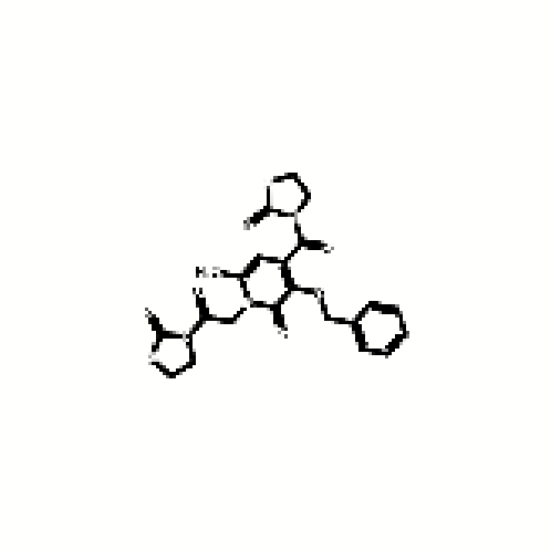 Cc1cc(C(=O)N2CCSC2=S)c(OCc2ccccc2)c(=O)n1CC(=O)N1CCSC1=S